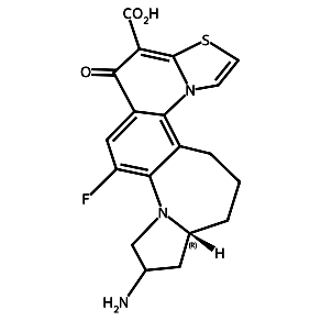 NC1C[C@H]2CCCc3c(c(F)cc4c(=O)c(C(=O)O)c5sccn5c34)N2C1